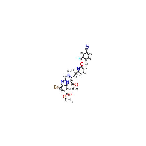 COC(=O)c1cc(Br)c2nc(CN3CCC(c4cccc(OCc5ccc(C#N)cc5F)n4)CC3)n(C[C@@H]3CCO3)c2c1